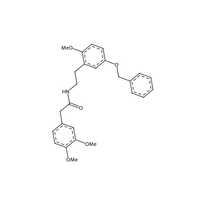 COc1ccc(OCc2ccccc2)cc1CCNC(=O)Cc1ccc(OC)c(OC)c1